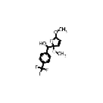 COC1C=CC(OC)(C(O)c2ccc(C(F)(F)F)cc2)O1